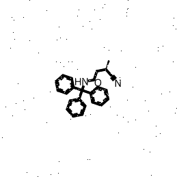 C[C@@H](C#N)CC(=O)NC(c1ccccc1)(c1ccccc1)c1ccccc1